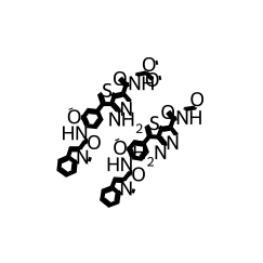 COc1cc(-c2csc3c(C(=O)NCC(OC)OC)cnc(N)c23)ccc1NC(=O)c1cc2ccccc2n1C.COc1cc(-c2csc3c(C(=O)NCC=O)cnc(N)c23)ccc1NC(=O)c1cc2ccccc2n1C